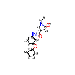 CCN1CC(C(=O)Nc2cccc(Oc3ccccc3)c2)CC1=O